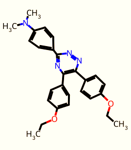 CCOc1ccc(-c2nnc(-c3ccc(N(C)C)cc3)nc2-c2ccc(OCC)cc2)cc1